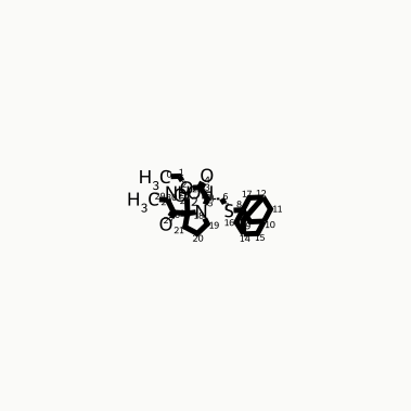 CCOC(=O)[C@H](CSC12CC3CC(CC(C3)C1)C2)N1CCCC1(C(=O)O)C(=O)C(C)N